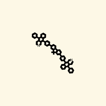 CC1(C)c2cc(-c3ccc(-c4c5ccccc5c(-c5ccccc5)c5ccncc45)cc3)ccc2-c2ccc(-c3ccc(-c4c5ccccc5c(-c5ccccc5)c5ccncc45)cc3)cc21